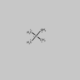 [CH3][Zr]([CH3])([CH3])[SiH3]